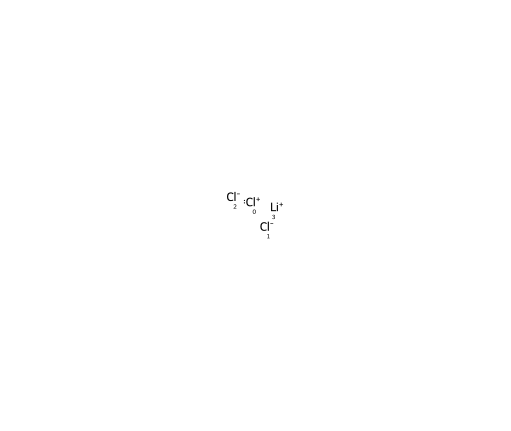 [Cl+].[Cl-].[Cl-].[Li+]